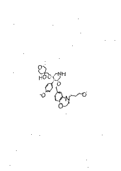 COCCCN1CCOc2ccc(CO[C@H]3CNC[C@@H](OCC4(O)CCOCC4)[C@@H]3c3ccc(OC)cc3)cc21